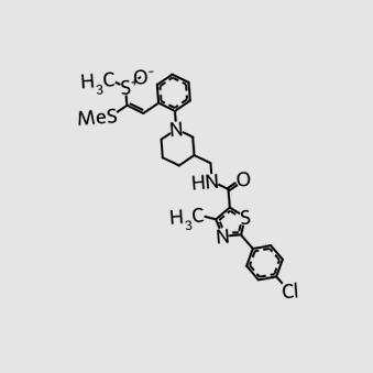 CS/C(=C/c1ccccc1N1CCCC(CNC(=O)c2sc(-c3ccc(Cl)cc3)nc2C)C1)[S+](C)[O-]